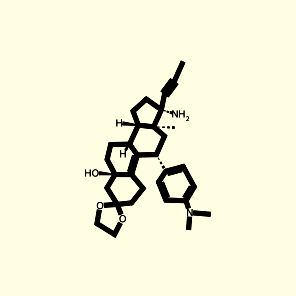 CC#C[C@]1(N)CC[C@H]2[C@@H]3CC[C@@]4(O)CC5(CCC4=C3[C@@H](c3ccc(N(C)C)cc3)C[C@@]21C)OCCO5